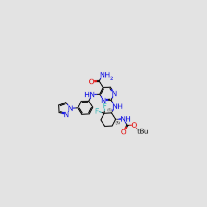 CC(C)(C)OC(=O)N[C@H]1CCCC(F)(F)[C@H]1Nc1ncc(C(N)=O)c(Nc2cccc(-n3cccn3)c2)n1